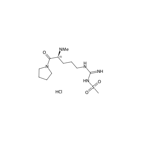 CN[C@@H](CCCNC(=N)NS(C)(=O)=O)C(=O)N1CCCC1.Cl